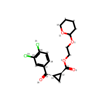 O=C(OCCOC1CCCCO1)[C@H]1C[C@@H]1C(=O)c1ccc(Cl)c(Cl)c1